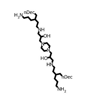 CCCCCCCCCCCC(CCCN)CCNCC(O)CN1CCN(CC(O)CNCCC(CCCN)CCCCCCCCCCC)CC1